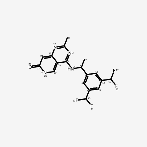 Cc1nc(NC(C)c2cc(C(F)F)cc(C(F)F)c2)c2c[nH]c(=O)cc2n1